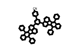 N#Cc1ccc(-c2cc(-c3ccc4c5c(cccc35)-c3c-4c(-c4ccccc4)c4ccccc4c3-c3ccccc3)cc(-c3ccc4c5c(cccc35)-c3c-4c(-c4ccccc4)c4ccccc4c3-c3ccccc3)c2)cc1